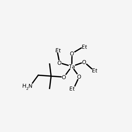 CC[O][Ta]([O]CC)([O]CC)([O]CC)[O]C(C)(C)CN